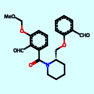 COCOc1cccc(C(=O)N2CCCC[C@H]2COc2ccccc2C=O)c1C=O